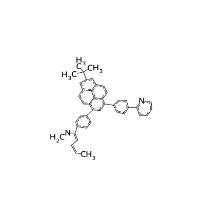 C=N/C(=C\C=C/C)c1ccc(-c2cc(-c3ccc(-c4ccccn4)cc3)c3ccc4cc(C(C)(C)C)cc5ccc2c3c54)cc1